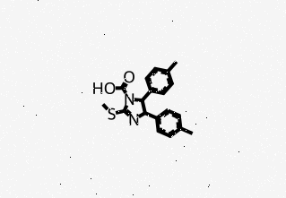 CSC1=NC(c2ccc(C)cc2)C(c2ccc(C)cc2)N1C(=O)O